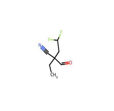 CCC(C#N)(C=O)CC(F)F